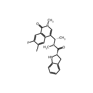 C[C@@H](c1cn(C)c(=O)c2cc(F)c(F)cc12)N(C)C(=O)[C@H]1Cc2ccccc2N1